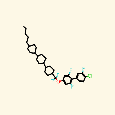 CCCCCC1CCC(C2CCC(C3CCC(C(F)(F)Oc4cc(F)c(-c5ccc(Cl)c(F)c5)c(F)c4)CC3)CC2)CC1